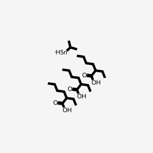 CCCCC(CC)C(=O)O.CCCCC(CC)C(=O)O.CCCCC(CC)C(=O)O.C[CH](C)[SnH]